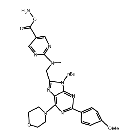 CCCCn1c(CN(C)c2ncc(C(=O)ON)cn2)nc2c(N3CCOCC3)nc(-c3ccc(OC)cc3)nc21